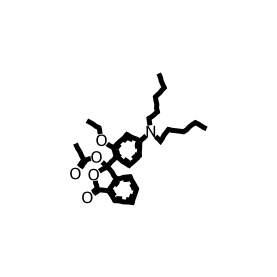 CCCCCN(CCCCC)c1ccc(C2(OC(C)=O)OC(=O)c3ccccc32)c(OCC)c1